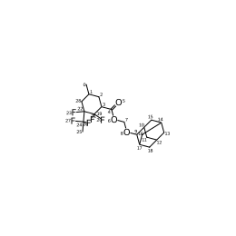 CC1CC(C(=O)OCOC2C3CC4CC(C3)CC2C4)C(F)(F)C(F)(C(C)(F)F)C1